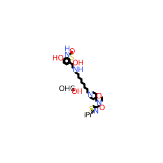 CC(C)c1nc(C(=O)N2CCOC3(CCN(CCCCCCCCCNC[C@H](O)c4ccc(O)c5[nH]c(=O)sc45)CC3)C2)cs1.O=CO